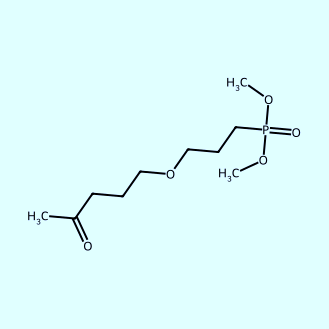 COP(=O)(CCCOCCCC(C)=O)OC